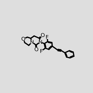 O=C1CC2COCCN2C(=O)N1c1c(F)cc(C#Cc2ccccc2)cc1F